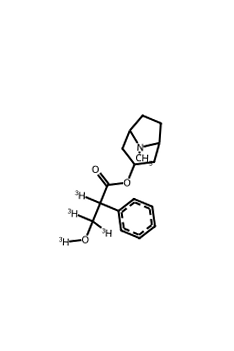 [3H]OC([3H])([3H])C([3H])(C(=O)OC1CC2CCC(C1)N2C)c1ccccc1